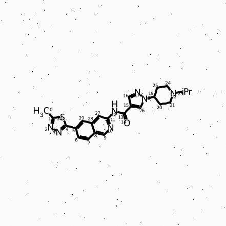 Cc1nnc(-c2ccc3cnc(NC(=O)c4cnn(C5CCN(C(C)C)CC5)c4)cc3c2)s1